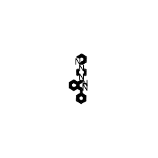 c1ccc(-c2nnc(N3CCN(c4ccccn4)CC3)c3ccccc23)cc1